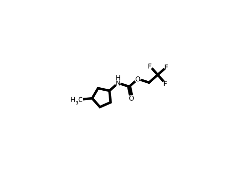 CC1CCC(NC(=O)OCC(F)(F)F)C1